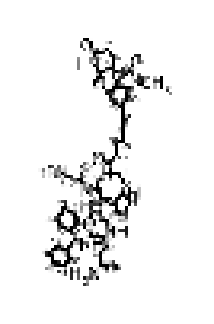 Cn1c(=O)n(C2CCC(=O)NC2=O)c2ccc(C#CCCCC(=O)N3CC[C@H]4CC[C@@H](C(=O)NC(CCC(N)=O)C(=O)NC(c5ccccc5)c5ccccc5)N4C(=O)[C@@H](NC(=O)OC(C)(C)C)C3)cc21